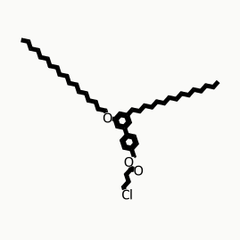 CCCCCCCCCCCCCCCCCCOc1cc(CCCCCCCCCCCCCCC)cc(-c2ccc(COC(=O)CCCCl)cc2)c1